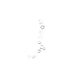 CCC1(C(=O)NC2CCC2)CCN(c2ccc(-c3nc(-c4cnn([C@H]5CC[C@H](N6CCN(c7cc(OC)c(N[C@H]8CCC(=O)NC8=O)cc7F)CC6)CC5)c4)cn4ncc(C#N)c34)cn2)CC1